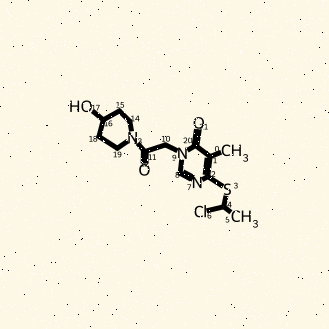 Cc1c(SC(C)Cl)ncn(CC(=O)N2CCC(O)CC2)c1=O